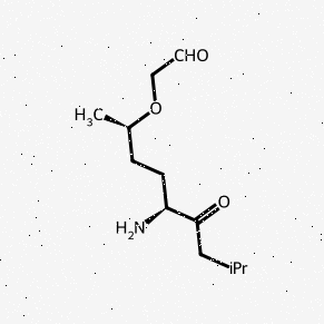 CC(C)CC(=O)[C@@H](N)CC[C@@H](C)OCC=O